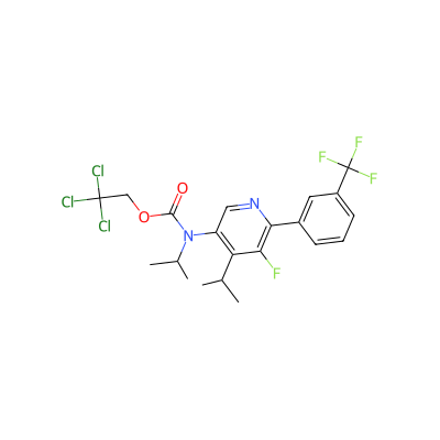 CC(C)c1c(N(C(=O)OCC(Cl)(Cl)Cl)C(C)C)cnc(-c2cccc(C(F)(F)F)c2)c1F